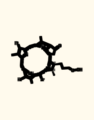 CCC1=C(C)c2cc3[nH]c(c(C)c3CC)c(Br)c3nc(c4c5[nH]c(cc1n2)c(C)c5C(=O)C4)[C@@H](CCCOO)[C@@H]3C